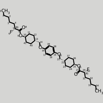 CCCCC[C@@H](F)C(=O)O[C@H]1CC[C@H](COc2ccc(OC[C@H]3CC[C@H](OC(=O)[C@H](F)CCCCC)CC3)cc2)CC1